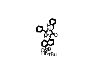 CC(C)(C)NS(=O)(=O)c1cccc2c(NC(=O)[C@H](Cc3ccccc3)NC(=O)c3ccccc3)cccc12